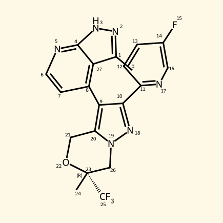 Cc1n[nH]c2nccc(-c3c(-c4ccc(F)cn4)nn4c3CO[C@@](C)(C(F)(F)F)C4)c12